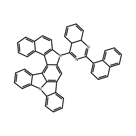 C1=CC2N=C(c3cccc4ccccc34)N=C(n3c4ccc5ccccc5c4c4c5c6ccccc6n6c7ccccc7c(cc43)c56)C2C=C1